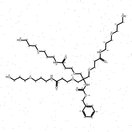 O=C(CCOCC(COCCC(=O)NCCCOCCCO)(COCCC(=O)NCCCOCCCO)NC(=O)OCc1ccccc1)NCCCOCCCO